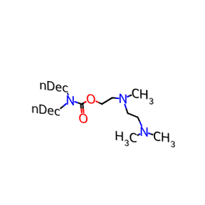 CCCCCCCCCCN(CCCCCCCCCC)C(=O)OCCN(C)CCN(C)C